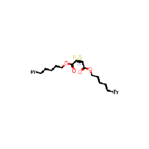 CC(C)CCCCCOC(=O)/C=C\C(=O)OCCCCCC(C)C.S